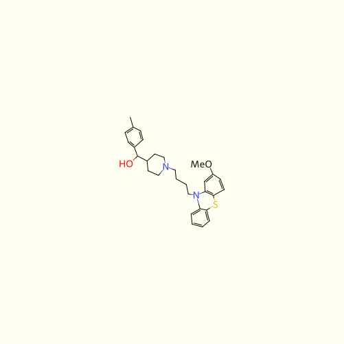 COc1ccc2c(c1)N(CCCCN1CCC(C(O)c3ccc(C)cc3)CC1)c1ccccc1S2